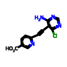 Nc1ncnc(Cl)c1C#Cc1ccc(C(=O)O)cn1